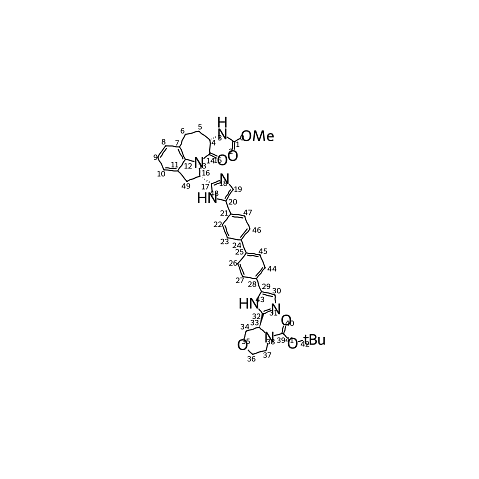 COC(=O)N[C@H]1CCc2cccc3c2N(C1=O)[C@H](c1ncc(-c2ccc(-c4ccc(-c5cnc([C@@H]6COCCN6C(=O)OC(C)(C)C)[nH]5)cc4)cc2)[nH]1)C3